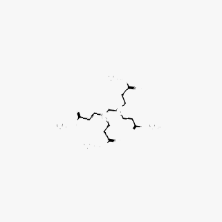 COC(=O)CCN(CCC(=O)OC)CN(CCC(=O)OC)CCC(=O)OC